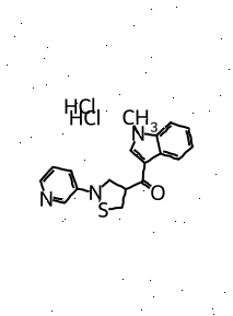 Cl.Cl.Cn1cc(C(=O)C2CSN(c3cccnc3)C2)c2ccccc21